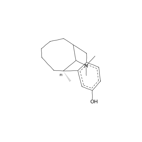 CN(C)C1C2CCCCC[C@]1(C)c1cc(O)ccc1C2